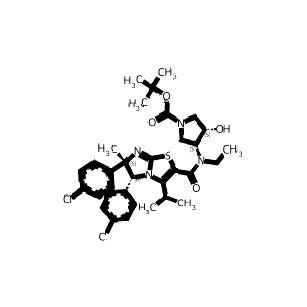 CCN(C(=O)C1=C(C(C)C)N2C(=N[C@@](C)(c3ccc(Cl)cc3)[C@H]2c2ccc(Cl)cc2)S1)[C@H]1CN(C(=O)OC(C)(C)C)C[C@@H]1O